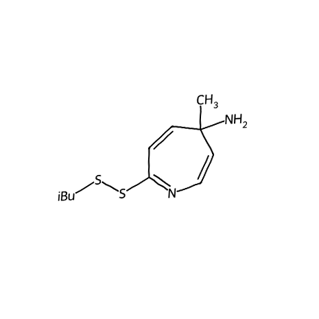 CCC(C)SSC1=NC=CC(C)(N)C=C1